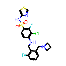 O=S(=O)(Nc1cscn1)c1ccc(NCc2c(F)cccc2CN2CCC2)c(Cl)c1F